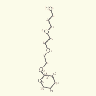 OCCCOCCOCCO[C@H]1CCCCO1